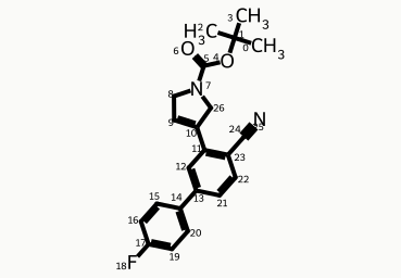 CC(C)(C)OC(=O)N1CC=C(c2cc(-c3ccc(F)cc3)ccc2C#N)C1